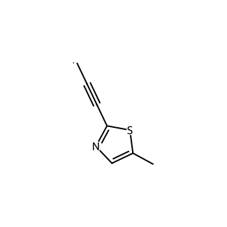 [CH2]C#Cc1ncc(C)s1